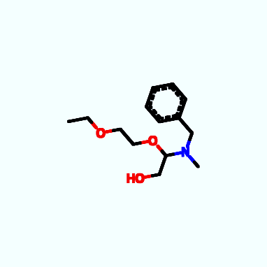 CCOCCOC(CO)N(C)Cc1ccccc1